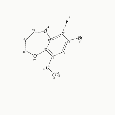 COc1cc(Br)c(F)c2c1OCCCO2